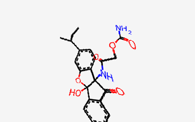 CC(C)c1ccc2c(c1)OC1(O)c3ccccc3C(=O)C21NC(=O)COC(N)=O